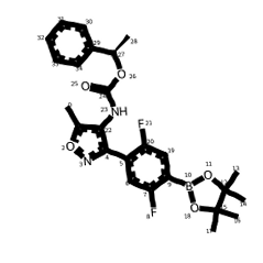 Cc1onc(-c2cc(F)c(B3OC(C)(C)C(C)(C)O3)cc2F)c1NC(=O)O[C@H](C)c1ccccc1